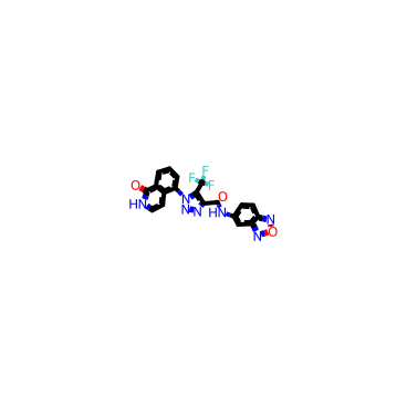 O=C(Nc1ccc2nonc2c1)c1nnn(-c2cccc3c(=O)[nH]ccc23)c1C(F)(F)F